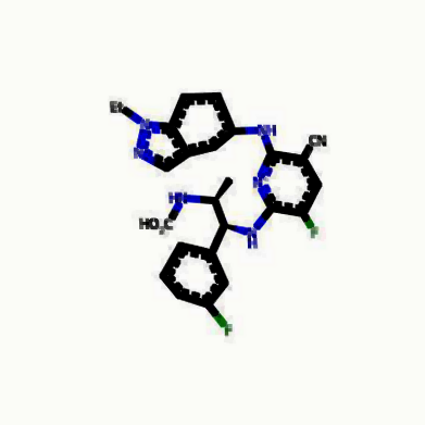 CCn1ncc2cc(Nc3nc(N[C@@H](c4cccc(F)c4)[C@H](C)NC(=O)O)c(F)cc3C#N)ccc21